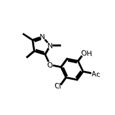 CC(=O)c1cc(Cl)c(Oc2c(C)c(C)nn2C)cc1O